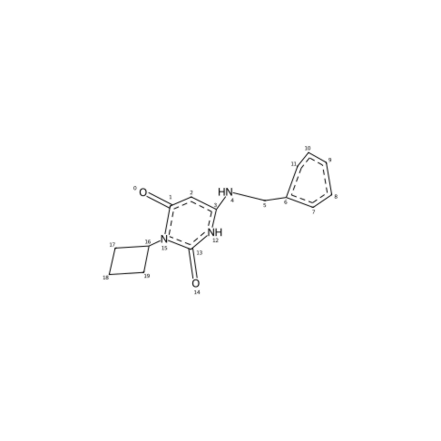 O=c1cc(NCc2ccccc2)[nH]c(=O)n1C1CCC1